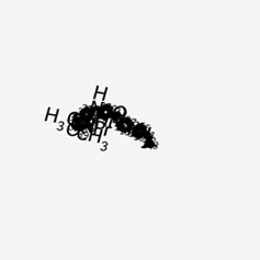 CC(C)N1c2nc(Nc3ccc(C(=O)N[C@H]4CC[C@H](N5CCN(CC6CC6)CC5)CC4)cc3)ccc2N(C)C(=O)[C@H]1C